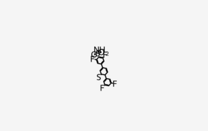 NS(=O)(=O)c1c(F)cc(C2=CC(=S)C(c3cc(F)cc(F)c3)C=C2)cc1F